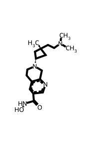 CN(C)CC[C@]1(C)C[C@H](N2CCc3cc(C(=O)NO)cnc3C2)C1